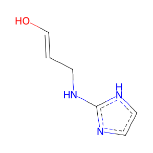 OC=CCNc1ncc[nH]1